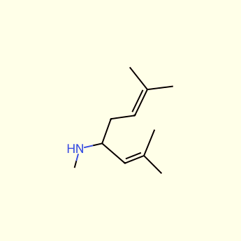 CNC(C=C(C)C)CC=C(C)C